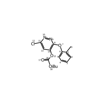 Cc1ccccc1Oc1nnc(Cl)cc1OC(=O)OCC(C)C